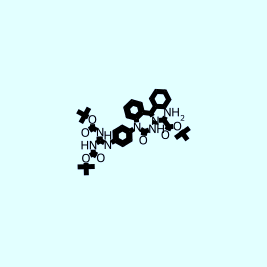 CC(C)(C)OC(=O)N=C(NC(=O)OC(C)(C)C)Nc1ccc(N2C(=O)NN(C(N)C(=O)OC(C)(C)C)C(C3CCCCC3)c3ccccc32)cc1